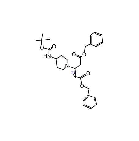 CC(C)(C)OC(=O)NC1CCN(/C(CC(=O)OCc2ccccc2)=N/C(=O)OCc2ccccc2)CC1